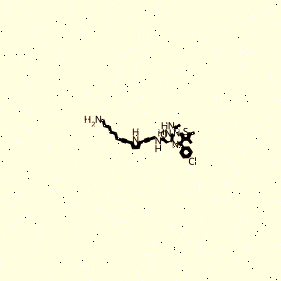 CC(=N)N1C(=N)[C@H](CC(=O)NCC#Cc2ccc(C#CCCCCCCN)[nH]2)N=C(c2ccc(Cl)cc2)c2c1sc(C)c2C